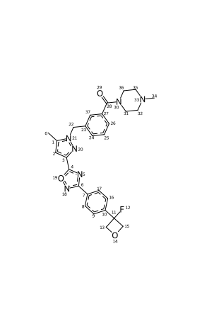 Cc1cc(-c2nc(-c3ccc(C4(F)COC4)cc3)no2)nn1Cc1cccc(C(=O)N2CCN(C)CC2)c1